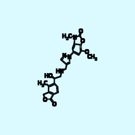 COc1cc(-n2cc(CNC[C@H](O)c3ccc4c(c3C)COC4=O)cn2)cc2c1oc(=O)n2C